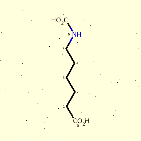 O=C(O)CCCCCNC(=O)O